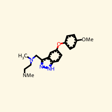 CNCCN(C)Cc1n[nH]c2ccc(Oc3ccc(OC)cc3)cc12